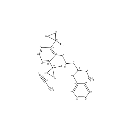 CC#N.CCN(CCCc1c(C2(F)CC2)cccc1C1(F)CC1)Cc1ccccc1